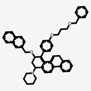 C1=c2c(ccc3c2=C(c2ccc(OCCCOCc4ccccc4)cc2)C(OCc2ccc4ccccc4c2)CC3N2CCCCC2)-c2ccccc2C1